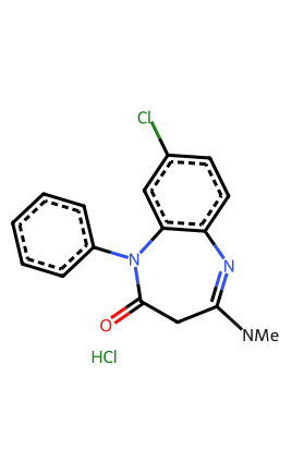 CNC1=Nc2ccc(Cl)cc2N(c2ccccc2)C(=O)C1.Cl